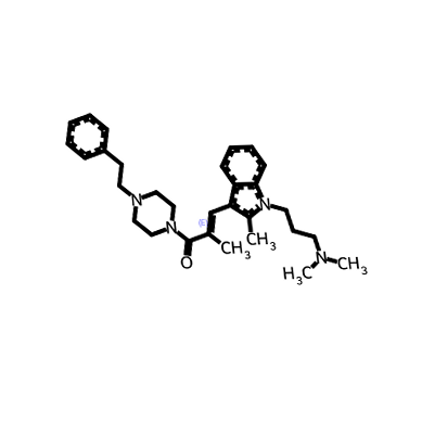 C/C(=C\c1c(C)n(CCCN(C)C)c2ccccc12)C(=O)N1CCN(CCc2ccccc2)CC1